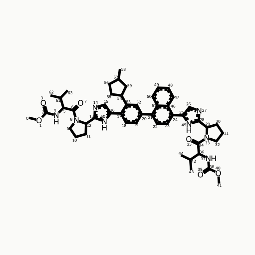 COC(=O)NC(C(=O)N1CCCC1c1ncc(-c2ccc(-c3ccc(-c4cnc(C5CCCN5C(=O)C(NC(=O)OC)C(C)C)[nH]4)c4ccccc34)cc2C2CCC(C)C2)[nH]1)C(C)C